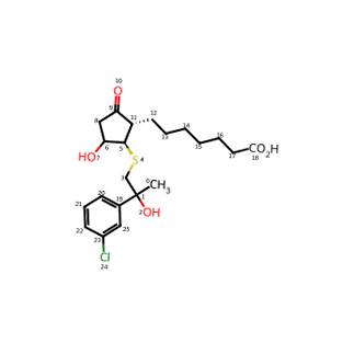 CC(O)(CS[C@H]1C(O)CC(=O)[C@@H]1CCCCCCC(=O)O)c1cccc(Cl)c1